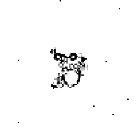 COc1ccc(-c2cc3cc(N(C)C)ccc3c(OC3C[C@H]4C(=O)N[C@]5(C(=O)NS(=O)(=O)C6CC6)C[C@H]5/C=C\CCOCC[C@H](NC(=O)OC(C)(C)C)C(=O)N4C3)n2)cc1